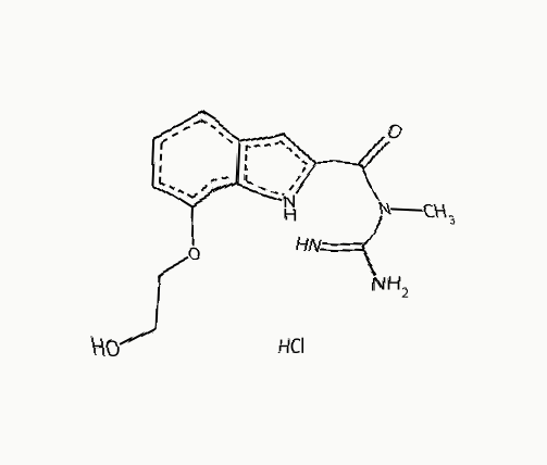 CN(C(=N)N)C(=O)c1cc2cccc(OCCO)c2[nH]1.Cl